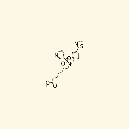 COC(=O)CCCCCCN(Cc1ccc(-c2nccs2)cc1)S(=O)(=O)c1cccnc1